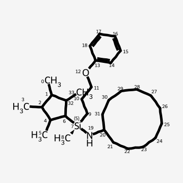 CC1C(C)C(C)C([Si@](C)(CCCOc2ccccc2)NC2CCCCCCCCCCC2)C1C